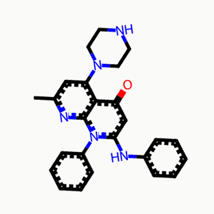 Cc1cc(N2CCNCC2)c2c(=O)cc(Nc3ccccc3)n(-c3ccccc3)c2n1